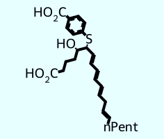 CCCCCC=CCC=CC=CC=C[C@@H](Sc1ccc(C(=O)O)cc1)[C@@H](O)CCCC(=O)O